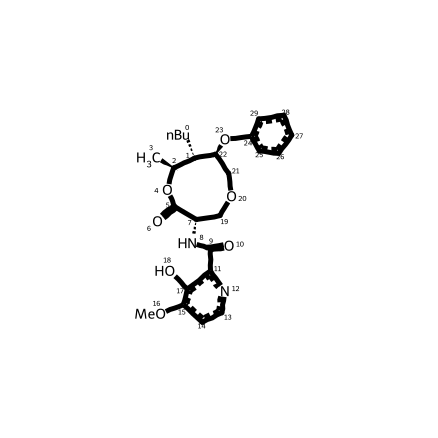 CCCC[C@H]1[C@H](C)OC(=O)[C@@H](NC(=O)c2nccc(OC)c2O)COC[C@@H]1Oc1ccccc1